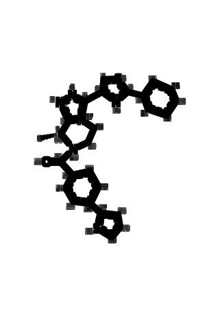 C[C@@H]1c2nnc(-c3csc(-c4ccccc4)n3)n2CCN1C(=O)c1ccc(-c2cccs2)cc1